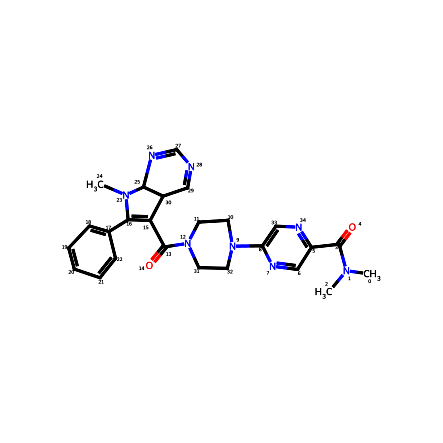 CN(C)C(=O)c1cnc(N2CCN(C(=O)C3=C(c4ccccc4)N(C)C4N=CN=CC34)CC2)cn1